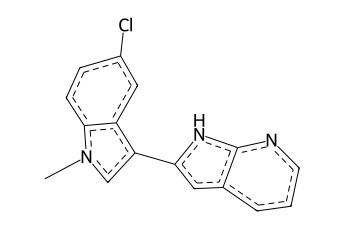 Cn1cc(-c2cc3cccnc3[nH]2)c2cc(Cl)ccc21